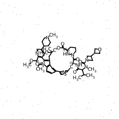 CCn1c(-c2cc(C3CCN(C)CC3)cnc2[C@H](C)OC)c2c3cc(ccc31)-c1csc(n1)C[C@H](NC(=O)C(C(C)C)N(C)C(=O)N1CC(C3COC3)C1)C(=O)N1CCC[C@H](N1)C(=O)OCC(C)(C)C2